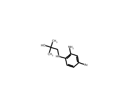 CC(=O)c1ccc(NCC(C)(C)O)c(N)c1